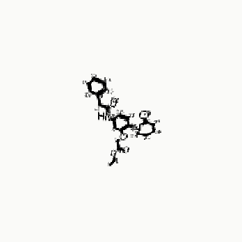 CCOC(=O)COc1cc(NC(=O)Cc2ccccc2)ccc1N1CCCCC1=O